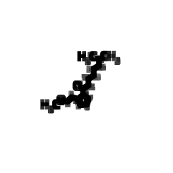 COCCC1=CC=CC1C(=O)CCCCCC(C)C